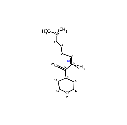 C/C(=C/CCCN(C)C)C(=O)C1CCOCC1